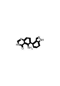 Nc1c(-c2cccc3[nH]ncc23)ccc2nc[nH]c(=O)c12